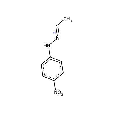 C/C=N/Nc1ccc([N+](=O)[O-])cc1